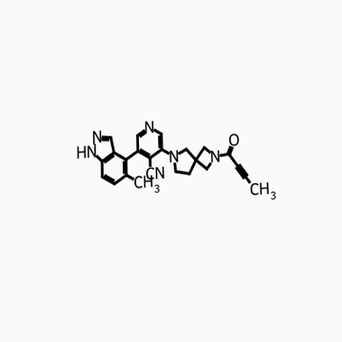 CC#CC(=O)N1CC2(CCN(c3cncc(-c4c(C)ccc5[nH]ncc45)c3C#N)C2)C1